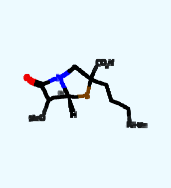 COC1C(=O)N2CC(CCCNC(C)=O)(C(=O)O)S[C@H]12